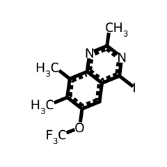 Cc1nc(I)c2cc(OC(F)(F)F)c(C)c(C)c2n1